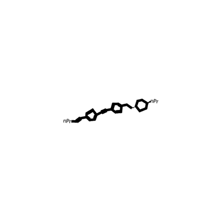 CCCC#Cc1ccc(C#Cc2ccc(CC[C@H]3CC[C@H](CCC)CC3)cc2)cc1